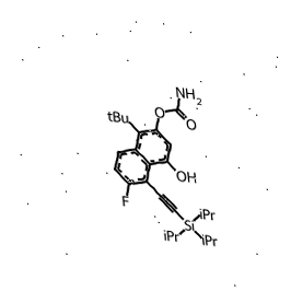 CC(C)[Si](C#Cc1c(F)ccc2c(C(C)(C)C)c(OC(N)=O)cc(O)c12)(C(C)C)C(C)C